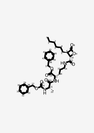 CCCCCC[C@H]1C(=O)O[C@@H]1C(=O)NCCC[C@H](NC(=O)[C@H](C)NC(=O)OCc1ccccc1)C(=O)OCc1ccccc1